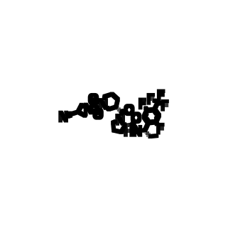 CC[C@H](NC(=O)[C@H]1CCCN1C(=O)[C@H]1CCCN(S(=O)(=O)N2CC(C#N)C2)C1)c1cc(F)c(C(F)(F)F)cc1F